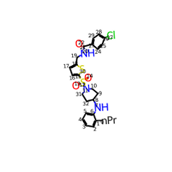 CCCc1ccccc1NC1CCN(S(=O)(=O)c2ccc(CNC(=O)c3ccc(Cl)cc3)s2)CC1